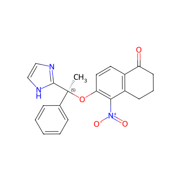 C[C@](Oc1ccc2c(c1[N+](=O)[O-])CCCC2=O)(c1ccccc1)c1ncc[nH]1